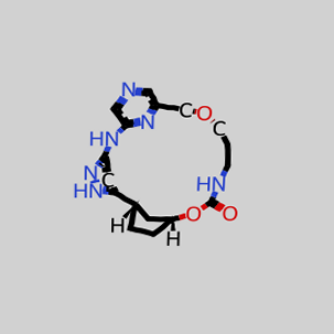 O=C1NCCCOCc2cncc(n2)Nc2cc([nH]n2)[C@H]2CC[C@H](C2)O1